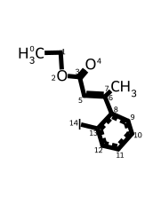 CCOC(=O)C=C(C)c1ccccc1I